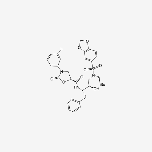 CC[C@H](C)CN(C[C@@H](O)[C@H](Cc1ccccc1)NC(=O)[C@@H]1CN(c2cccc(F)c2)C(=O)O1)S(=O)(=O)c1ccc2c(c1)OCO2